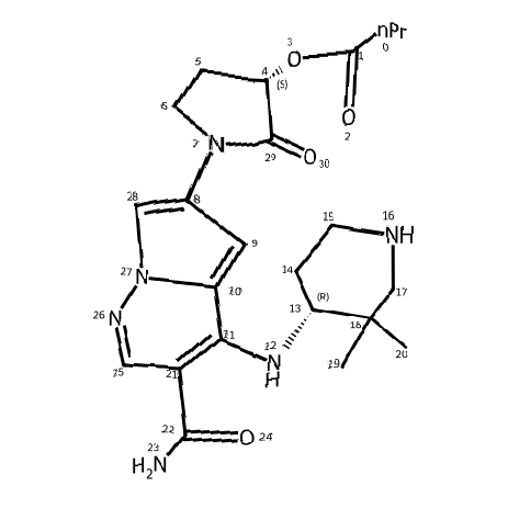 CCCC(=O)O[C@H]1CCN(c2cc3c(N[C@@H]4CCNCC4(C)C)c(C(N)=O)cnn3c2)C1=O